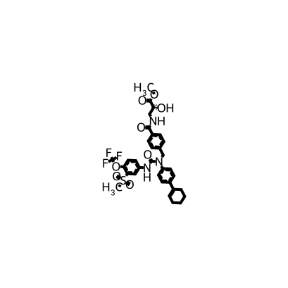 COC(=O)[C@H](O)CNC(=O)c1ccc(CN(C(=O)Nc2ccc(OC(F)(F)F)c(S(C)(=O)=O)c2)c2ccc(C3=CCCCC3)cc2)cc1